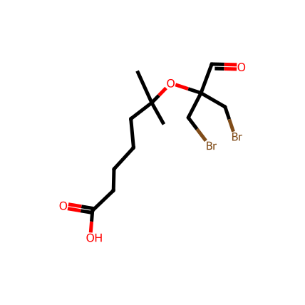 CC(C)(CCCCC(=O)O)OC(C=O)(CBr)CBr